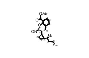 COC(=O)c1cccc2c1OB(N=O)[C@@H]([C@@H]1CC[C@@H]1C(=O)CCC(C)=O)C2